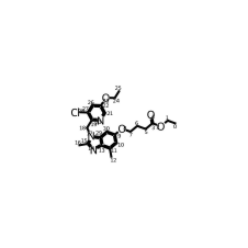 CCOC(=O)CCCOc1cc(C)c2nc(C)n(Cc3ncc(OCC)cc3Cl)c2c1